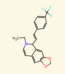 CCN1C=Cc2cc3c(cc2C1C=Cc1ccc(C(F)(F)F)cc1)OCO3